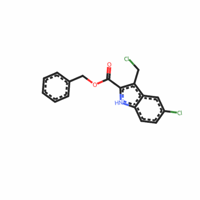 O=C(OCc1ccccc1)c1[nH]c2ccc(Cl)cc2c1CCl